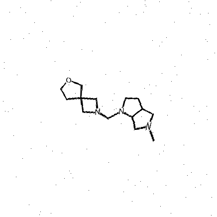 CN1CC2CCN(CN3CC4(CCOC4)C3)C2C1